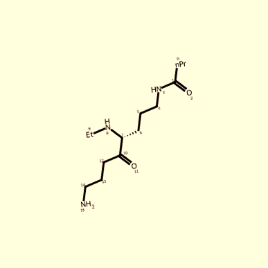 CCCC(=O)NCCC[C@@H](NCC)C(=O)CCCN